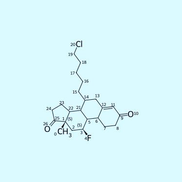 C[C@]12C[C@H](F)C3C4CCC(=O)C=C4CC(CCCCCCl)C3C1CCC2=O